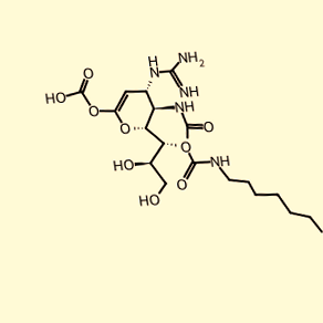 CCCCCCCNC(=O)O[C@@H]([C@@H]1OC(OC(=O)O)=C[C@H](NC(=N)N)[C@H]1NC(C)=O)[C@H](O)CO